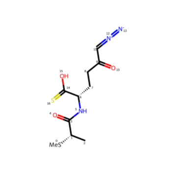 CS[C@@H](C)C(=O)N[C@@H](CCC(=O)C=[N+]=[N-])C(O)=S